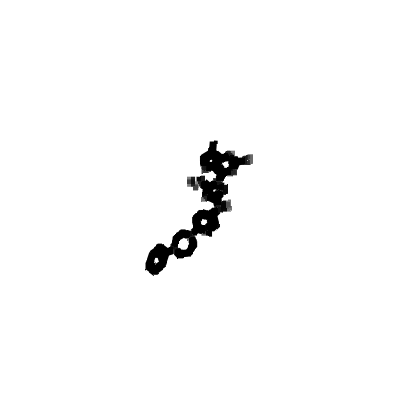 Cc1csc2c(-n3nc(Nc4ccc(N5CCCN(C6CC7CCC6C7)CC5)nc4)nc3N)nc(Cl)nc12